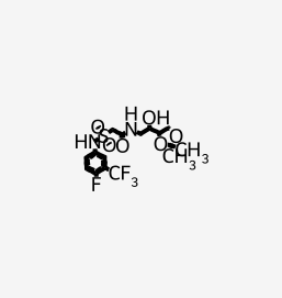 CC1(C)OCC(C(O)CNC(=O)CS(=O)(=O)Nc2ccc(F)c(C(F)(F)F)c2)O1